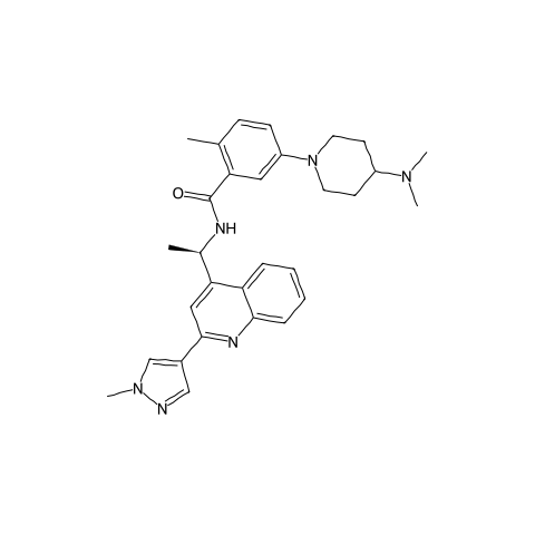 Cc1ccc(N2CCC(N(C)C)CC2)cc1C(=O)N[C@H](C)c1cc(-c2cnn(C)c2)nc2ccccc12